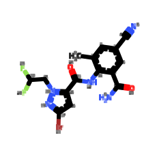 Cc1cc(C#N)cc(C(N)=O)c1NC(=O)c1cc(Br)nn1CC(F)F